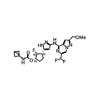 COCc1cc2c(Nc3cc([C@@H]4CC[C@H](OC(=O)NC56CC(C5)C6)[C@H]4F)[nH]n3)nc(C(F)F)cn2n1